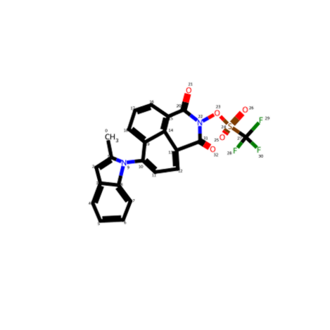 Cc1cc2ccccc2n1-c1ccc2c3c(cccc13)C(=O)N(OS(=O)(=O)C(F)(F)F)C2=O